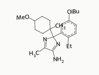 CCc1ccc(OCC(C)C)cc1C1(C2(C)CCC(OC)CC2)N=C(C)C(N)=N1